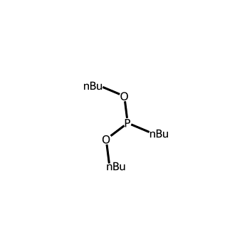 CCCCOP(CCCC)OCCCC